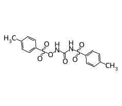 Cc1ccc(S(=O)(=O)NC(=O)NOS(=O)(=O)c2ccc(C)cc2)cc1